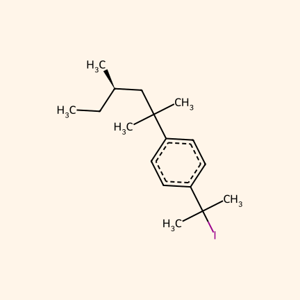 CC[C@@H](C)CC(C)(C)c1ccc(C(C)(C)I)cc1